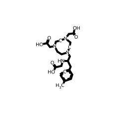 Cc1ccc(CC(CN2CCN(CC(=O)O)CCN(CC(=O)O)CC2)NCC(=O)O)cc1